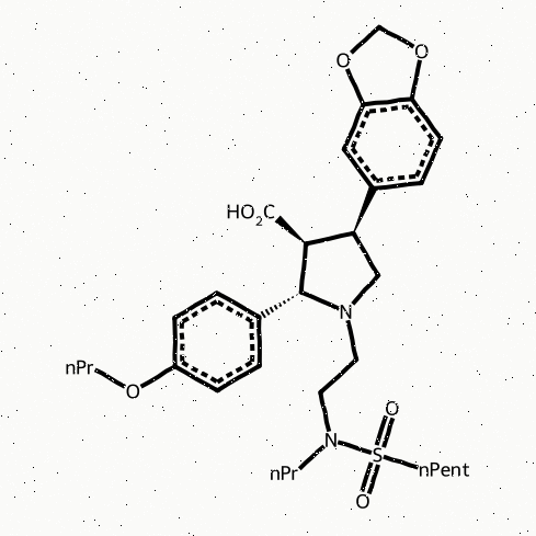 CCCCCS(=O)(=O)N(CCC)CCN1C[C@H](c2ccc3c(c2)OCO3)[C@H](C(=O)O)[C@H]1c1ccc(OCCC)cc1